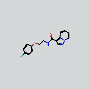 O=C(NCCOc1ccc(F)cc1)c1cnn2ccccc12